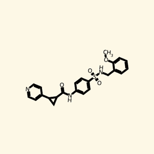 COc1ccccc1CNS(=O)(=O)c1ccc(NC(=O)C2CC2c2ccncc2)cc1